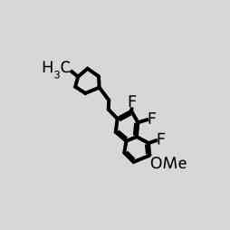 COc1ccc2cc(CCC3CCC(C)CC3)c(F)c(F)c2c1F